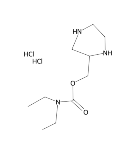 CCN(CC)C(=O)OCC1CNCCN1.Cl.Cl